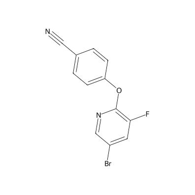 N#Cc1ccc(Oc2ncc(Br)cc2F)cc1